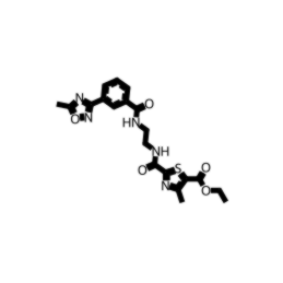 CCOC(=O)c1sc(C(=O)NCCNC(=O)c2cccc(-c3noc(C)n3)c2)nc1C